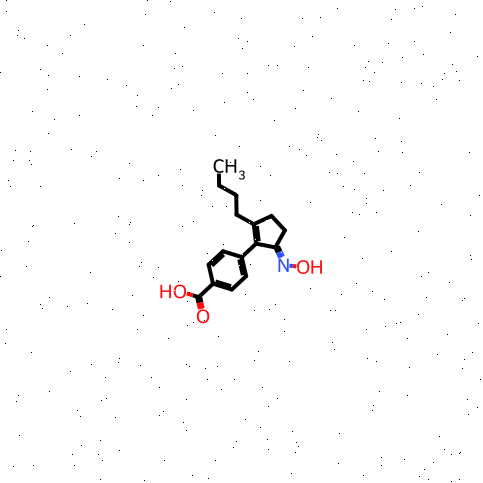 CCCCC1=C(c2ccc(C(=O)O)cc2)C(=NO)CC1